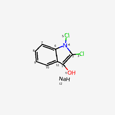 Oc1c(Cl)n(Cl)c2ccccc12.[NaH]